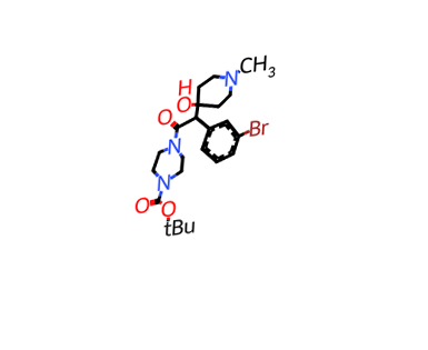 CN1CCC(O)(C(C(=O)N2CCN(C(=O)OC(C)(C)C)CC2)c2cccc(Br)c2)CC1